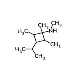 CNC1(C)C(C)C(C(C)C)C1C